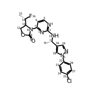 C[C@H](Nc1nccc(N2C(=O)OCC2[C@H](C)F)n1)c1cnn(-c2ccc(Cl)cc2)c1